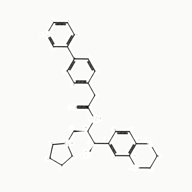 O=C(Cc1ccc(-c2cccnc2)cc1)N[C@H](CN1CCCC1)[C@H](O)c1ccc2c(c1)OCCO2